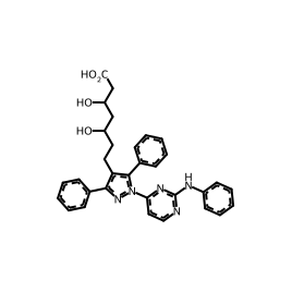 O=C(O)CC(O)CC(O)CCc1c(-c2ccccc2)nn(-c2ccnc(Nc3ccccc3)n2)c1-c1ccccc1